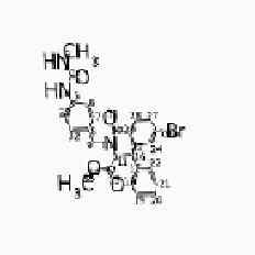 CNC(=O)Nc1ccc(Cn2c(C(=O)OC)c(-c3ccccc3)c3cc(Br)ccc3c2=O)cc1